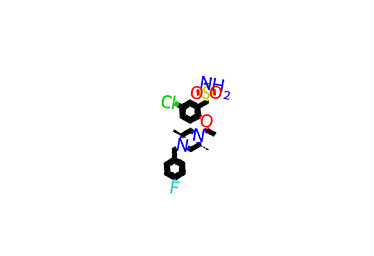 CC(Oc1ccc(Cl)cc1CS(N)(=O)=O)N1C[C@H](C)N(Cc2ccc(F)cc2)C[C@H]1C